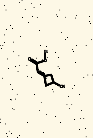 CCOC(=O)C=C1CC(C#N)C1